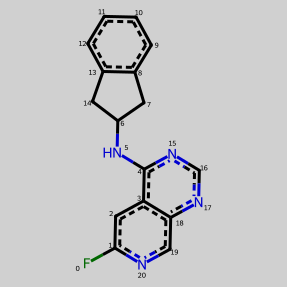 Fc1cc2c(NC3Cc4ccccc4C3)ncnc2cn1